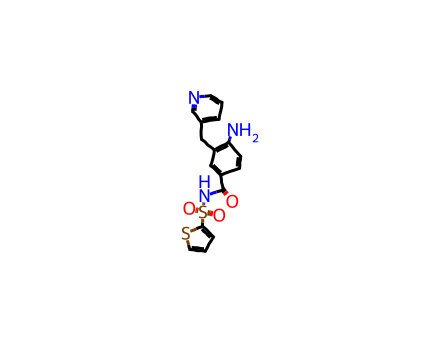 Nc1ccc(C(=O)NS(=O)(=O)c2cccs2)cc1Cc1cccnc1